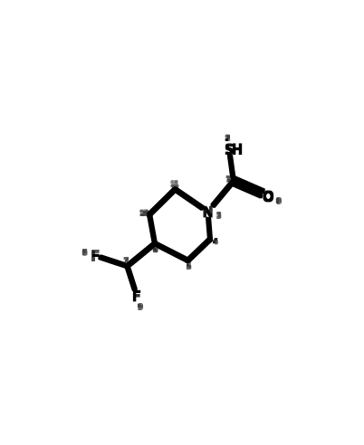 O=C(S)N1CCC(C(F)F)CC1